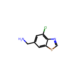 NCc1cc(Cl)c2n[c]sc2c1